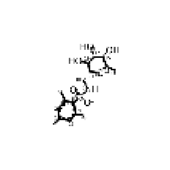 Cc1cc(C)c(S(=O)(=O)NC[C@H]2OC(C)[C@@H](O)[C@H](O)C2O)c(C)c1